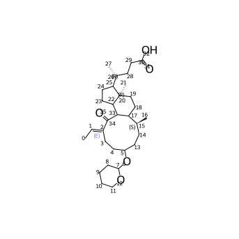 C/C=C1\CCC(OC2CCCCO2)CC[C@H](C)C2CC[C@@]3(C)C(CCC3[C@H](C)CCC(=O)O)C2C1=O